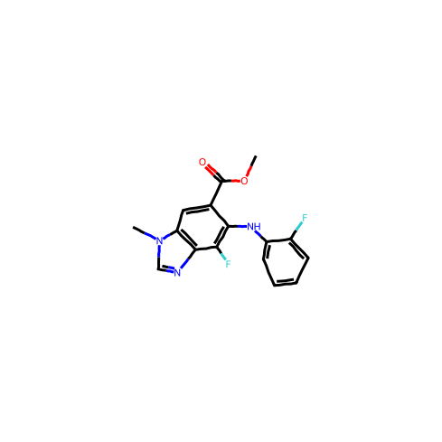 COC(=O)c1cc2c(ncn2C)c(F)c1Nc1ccccc1F